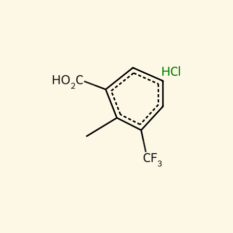 Cc1c(C(=O)O)cccc1C(F)(F)F.Cl